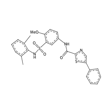 COc1ccc(NC(=O)c2ncc(-c3ccccc3)s2)cc1S(=O)(=O)Nc1c(C)cccc1C